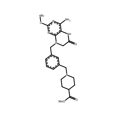 CCCCOc1nc(N)c2c(n1)N(Cc1cccc(CN3CCC(C(=O)OC)CC3)c1)CC(=O)N2